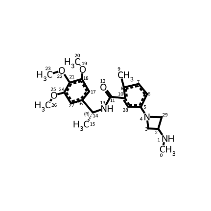 CNC1CN(c2ccc(C)c(C(=O)N[C@H](C)c3cc(OC)c(OC)c(OC)c3)c2)C1